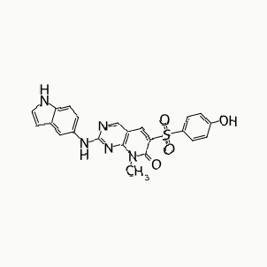 Cn1c(=O)c(S(=O)(=O)c2ccc(O)cc2)cc2cnc(Nc3ccc4[nH]ccc4c3)nc21